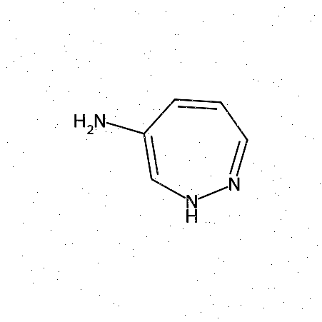 NC1=CNN=CC=C1